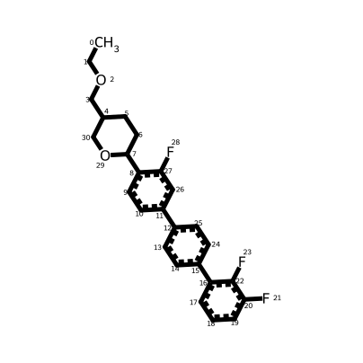 CCOCC1CCC(c2ccc(-c3ccc(-c4cccc(F)c4F)cc3)cc2F)OC1